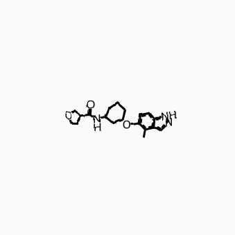 Cc1c(OC2CCCC(NC(=O)C3CCOC3)C2)ccc2[nH]ncc12